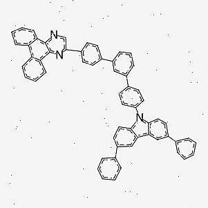 c1ccc(-c2ccc3c(c2)c2cc(-c4ccccc4)ccc2n3-c2ccc(-c3cccc(-c4ccc(-c5cnc6c7ccccc7c7ccccc7c6n5)cc4)c3)cc2)cc1